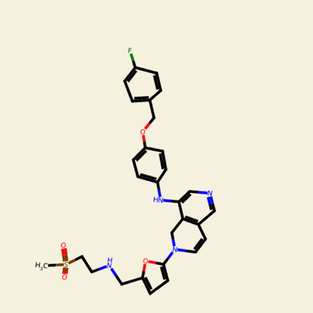 CS(=O)(=O)CCNCc1ccc(N2C=Cc3cncc(Nc4ccc(OCc5ccc(F)cc5)cc4)c3C2)o1